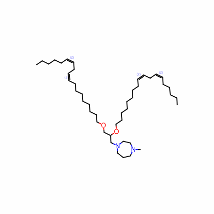 CCCCC/C=C\C/C=C\CCCCCCCCOCC(CN1CCCN(C)CC1)OCCCCCCCC/C=C\C/C=C\CCCCC